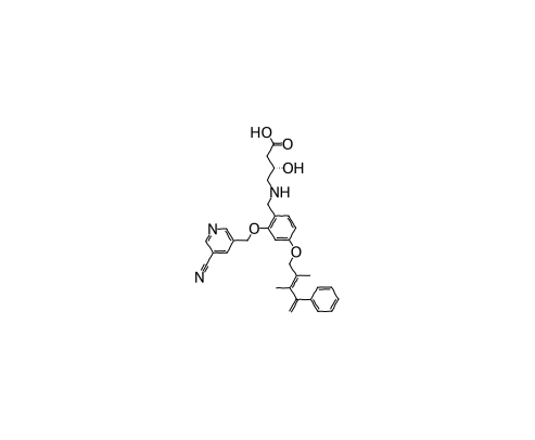 C=C(/C(C)=C(\C)COc1ccc(CNC[C@@H](O)CC(=O)O)c(OCc2cncc(C#N)c2)c1)c1ccccc1